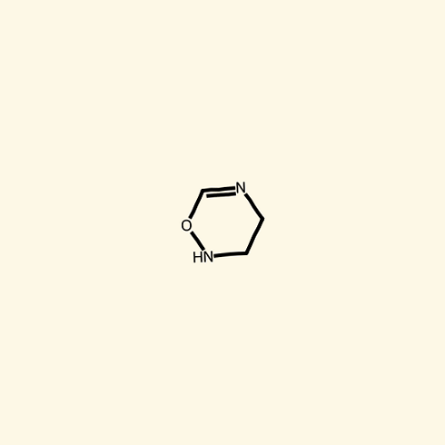 C1=NCCNO1